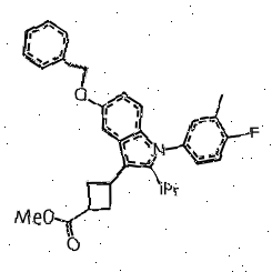 COC(=O)C1CC(c2c(C(C)C)n(-c3ccc(F)c(C)c3)c3ccc(OCc4ccccc4)cc23)C1